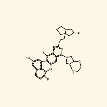 CCc1c(F)ccc2cc(O)cc(-c3ncc4c(N5CC6NCCOC6C5)nc(OC[C@@]56CCCN5C[C@H](F)C6)nc4c3F)c12